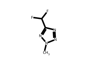 Cn1nnc(C(F)F)n1